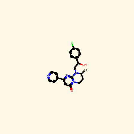 CCC1CCn2c(nc(-c3ccncc3)cc2=O)N1CC(O)c1ccc(Cl)cc1